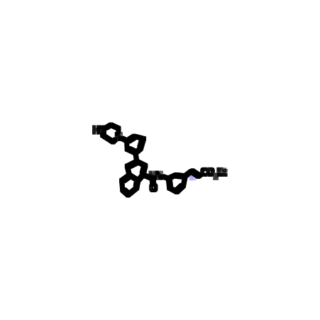 CCOC(=O)/C=C/c1cccc(NC(=O)c2cc(-c3cccc(N4CCNCC4)c3)cc3ccccc23)c1